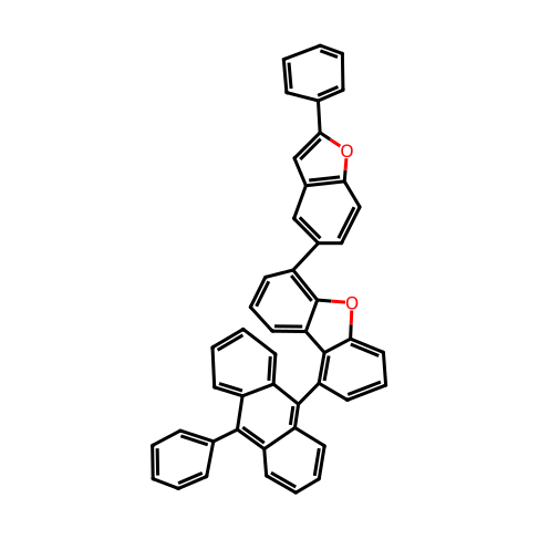 c1ccc(-c2cc3cc(-c4cccc5c4oc4cccc(-c6c7ccccc7c(-c7ccccc7)c7ccccc67)c45)ccc3o2)cc1